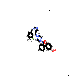 N#Cc1ccc(Cn2cncc2CN2CCN(C(=O)C3(c4cccc(O)c4)CCCCC3)CC2)cc1F